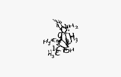 CCc1c(O)ccc(Oc2c(C)cc(N)c3c2CCC3)c1C